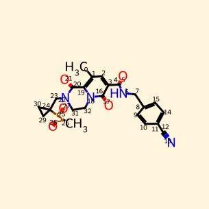 Cc1cc(C(=O)NCc2ccc(C#N)cc2)c(=O)n2c1C(=O)N(CC1(S(C)(=O)=O)CC1)CC2